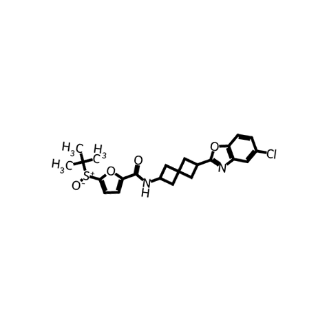 CC(C)(C)[S+]([O-])c1ccc(C(=O)NC2CC3(C2)CC(c2nc4cc(Cl)ccc4o2)C3)o1